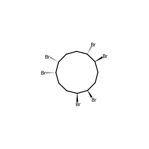 Br[C@@H]1CC[C@H](Br)[C@@H](Br)CC[C@@H](Br)[C@@H](Br)CC[C@@H]1Br